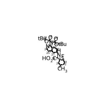 Cc1ccc(F)c(C(Nc2ccc3c(N(C(=O)OC(C)(C)C)C(=O)OC(C)(C)C)nccc3c2)C(=O)O)c1